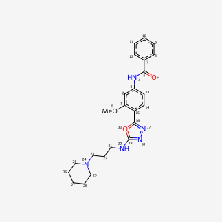 COc1cc(NC(=O)c2ccccc2)ccc1-c1nnc(NCCCN2CCCCC2)o1